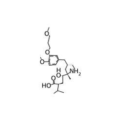 CC[C@@H](Cc1ccc(OC)c(OCCCOC)c1)C[C@](C)(N)[C@@H](O)C[C@H](C(=O)O)C(C)C